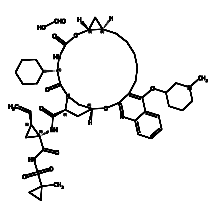 C=C[C@@H]1C[C@]1(NC(=O)[C@@H]1C[C@@H]2CN1C(=O)[C@H](C1CCCCC1)NC(=O)O[C@@H]1C[C@H]1CCCCCc1c(nc3ccccc3c1OC1CCCN(C)C1)O2)C(=O)NS(=O)(=O)C1(C)CC1.O=CO